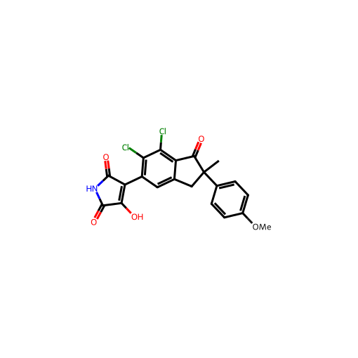 COc1ccc(C2(C)Cc3cc(C4=C(O)C(=O)NC4=O)c(Cl)c(Cl)c3C2=O)cc1